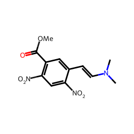 COC(=O)c1cc(C=CN(C)C)c([N+](=O)[O-])cc1[N+](=O)[O-]